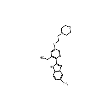 Cc1ccc2[nH]c(-c3ncc(OCCN4CCOCC4)cc3CO)nc2c1